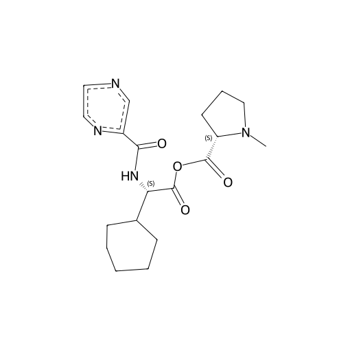 CN1CCC[C@H]1C(=O)OC(=O)[C@@H](NC(=O)c1cnccn1)C1CCCCC1